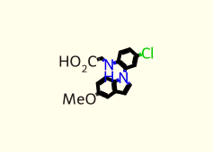 COc1ccc2c(ccn2-c2cc(Cl)ccc2NCC(=O)O)c1